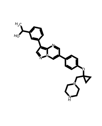 CC(O)c1cccc(-c2cnn3cc(-c4ccc(OC5(CN6CCNCC6)CC5)cc4)cnc23)c1